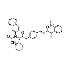 CC(=O)N(c1ccc2ncccc2c1)N(C(=O)Cc1ccc(/C=C/C(=O)Nc2ccccc2N)cc1)C1CCCCC1